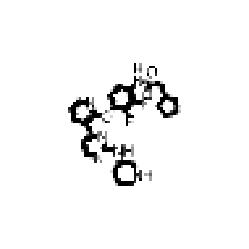 O=S(=O)(CC1CCCC1)Nc1ccc(Oc2ncccc2-c2ccnc(N[C@H]3CCCNC3)n2)c(F)c1F